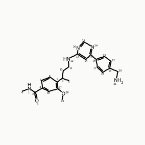 CNC(=O)c1ccc(C(C)CCNc2cc(-c3ccc(CN)cc3)ncn2)c(OC)c1